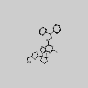 CC1(C)CCCC1(C1OC=C(CO)O1)n1cnc2c(NCC(c3ccccc3)c3ccccc3)nc(Cl)nc21